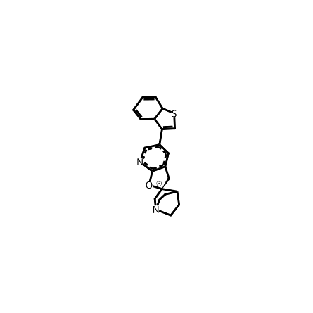 C1=CC2SC=C(c3cnc4c(c3)C[C@@]3(CN5CCC3CC5)O4)C2C=C1